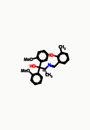 COc1ccccc1C(O)(c1ccccc1OC)[C@@H](C)N=Cc1cccc(C)c1O